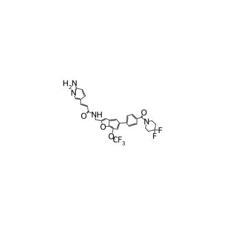 Nc1ccc(/C=C/C(=O)NCc2cc3cc(-c4ccc(C(=O)N5CCC(F)(F)CC5)cc4)cc(OC(F)(F)F)c3o2)cn1